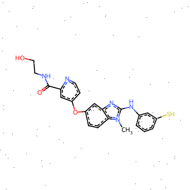 Cn1c(Nc2cccc(S)c2)nc2cc(Oc3ccnc(C(=O)NCCO)c3)ccc21